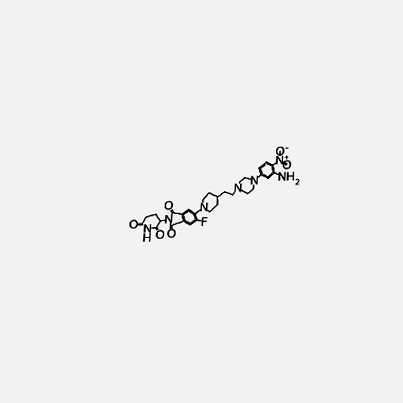 Nc1cc(N2CCN(CCC3CCN(c4cc5c(cc4F)C(=O)N(C4CCC(=O)NC4=O)C5=O)CC3)CC2)ccc1[N+](=O)[O-]